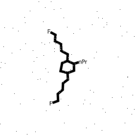 CCC[C]1CC(CCCCCF)CCC1CCCCCF